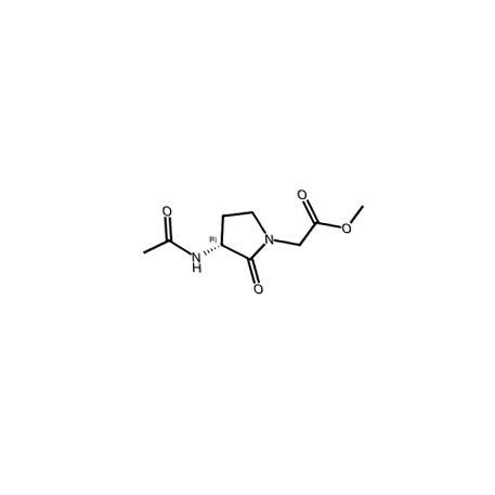 COC(=O)CN1CC[C@@H](NC(C)=O)C1=O